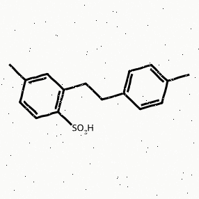 Cc1ccc(CCc2cc(C)ccc2S(=O)(=O)O)cc1